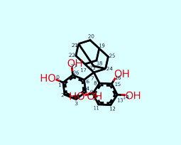 Oc1ccc(O)c(C2(c3c(O)ccc(O)c3O)C3CC4CC(C3)CC2C4)c1O